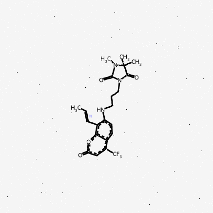 C/C=C/c1c(NCCCN2C(=O)N(C)C(C)(C)C2=O)ccc2c(C(F)(F)F)cc(=O)oc12